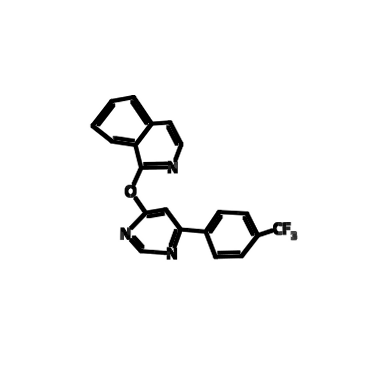 FC(F)(F)c1ccc(-c2cc(Oc3nccc4ccccc34)ncn2)cc1